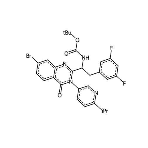 CC(C)c1ccc(-n2c(C(Cc3cc(F)cc(F)c3)NC(=O)OC(C)(C)C)nc3cc(Br)ccc3c2=O)cn1